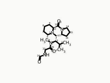 CC(C)[C@@H](CN1CCCC[C@H]1C(=O)N1CCCC1)N(C)C(=O)CNC=O